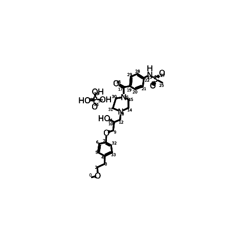 COCCc1ccc(OCC(O)CN2CCN(C(=O)c3ccc(NS(C)(=O)=O)cc3)CC2)cc1.O=P(O)(O)O